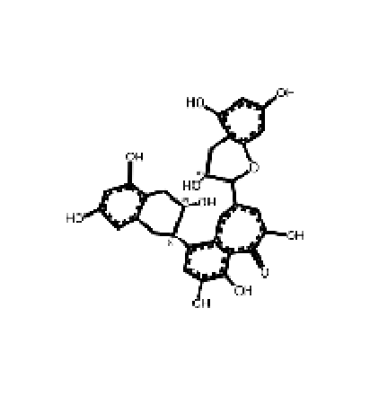 O=c1c(O)cc(C2Oc3cc(O)cc(O)c3C[C@H]2O)cc2c([C@H]3Cc4cc(O)cc(O)c4C[C@H]3O)cc(O)c(O)c12